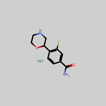 Cl.NC(=O)c1ccc(C2CNCCO2)c(F)c1